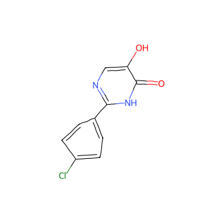 O=c1[nH]c(-c2ccc(Cl)cc2)ncc1O